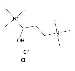 C[N+](C)(C)CCC(O)[N+](C)(C)C.[Cl-].[Cl-]